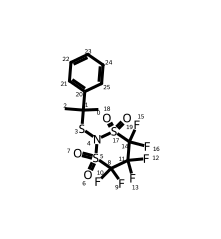 CC(C)(SN1S(=O)(=O)C(F)(F)C(F)(F)C(F)(F)S1(=O)=O)c1ccccc1